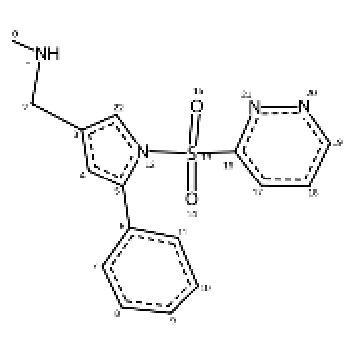 CNCc1cc(-c2ccccc2)n(S(=O)(=O)c2cccnn2)c1